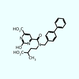 CC(CCN(Cc1ccc(-c2ccccc2)cc1)C(=O)c1cc(C(=O)O)nc(O)n1)C(=O)O